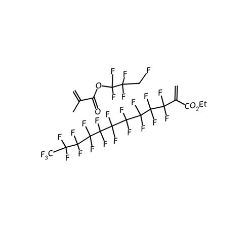 C=C(C(=O)OCC)C(F)(F)C(F)(F)C(F)(F)C(F)(F)C(F)(F)C(F)(F)C(F)(F)C(F)(F)C(F)(F)C(F)(F)F.C=C(C)C(=O)OC(F)(F)C(F)(F)CF